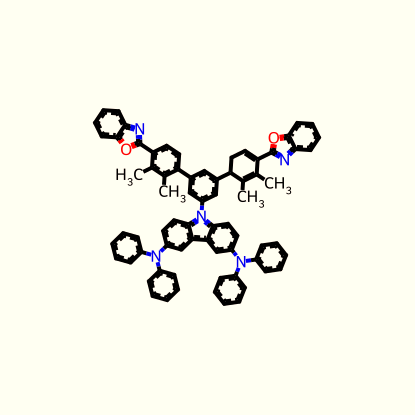 CC1=C(C)C(c2cc(-c3ccc(-c4nc5ccccc5o4)c(C)c3C)cc(-n3c4ccc(N(c5ccccc5)c5ccccc5)cc4c4cc(N(c5ccccc5)c5ccccc5)ccc43)c2)CC=C1c1nc2ccccc2o1